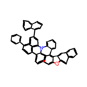 c1ccc(-c2ccc(-c3ccccc3N(c3cccc(-c4cccc5ccccc45)c3)c3ccccc3-c3cccc4oc5cc6ccccc6cc5c34)cc2)cc1